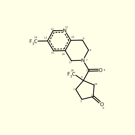 O=C1CCC(C(=O)N2CCc3ncc(C(F)(F)F)cc3C2)(C(F)(F)F)C1